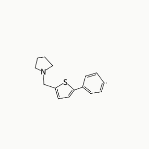 [c]1ccc(-c2ccc(CN3CCCC3)s2)cc1